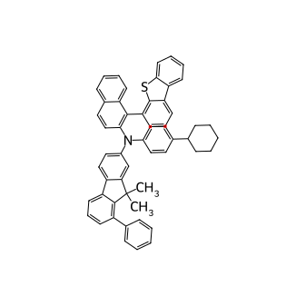 CC1(C)c2cc(N(c3ccc(C4CCCCC4)cc3)c3ccc4ccccc4c3-c3cccc4c3sc3ccccc34)ccc2-c2cccc(-c3ccccc3)c21